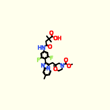 COC(=O)N1CCO[C@@H](Cc2c(-c3c(F)cc(NC(=O)CC(C)(C)C(=O)O)cc3F)nc3cc(C)ccn23)C1